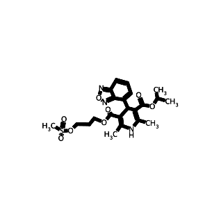 CC1=C(C(=O)OCCCOS(C)(=O)=O)C(c2cccc3nonc23)C(C(=O)OC(C)C)=C(C)N1